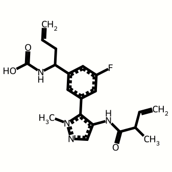 C=CCC(NC(=O)O)c1cc(F)cc(-c2c(NC(=O)C(C)C=C)cnn2C)c1